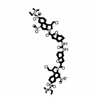 CCN(N(C)C)S(=O)(=O)c1ccc2c3c(cc([N+](=O)[O-])c2c1)N(C(=O)c1cc2cc(NC(=O)Nc4ccc5oc(C(=O)N6CC(CCl)c7c6cc([N+](=O)[O-])c6cc(S(=O)(=O)N(CC)N(C)C)ccc76)cc5c4)ccc2o1)CC3CCl